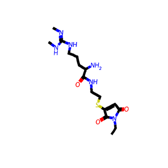 CCN1C(=O)C=C(SCCNC(=O)C(N)CCCN/C(=N/C)NC)C1=O